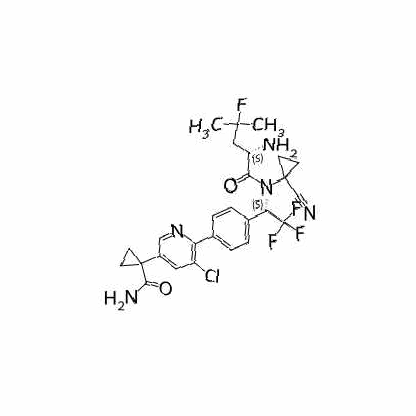 CC(C)(F)C[C@H](N)C(=O)N([C@@H](c1ccc(-c2ncc(C3(C(N)=O)CC3)cc2Cl)cc1)C(F)(F)F)C1(C#N)CC1